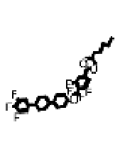 CCCCCC1COC(c2cc(F)c(C(F)(F)Oc3ccc(C4CCC(c5cc(F)c(F)c(F)c5)CC4)cc3)c(F)c2)OC1